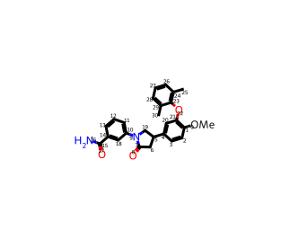 COc1ccc(C2CC(=O)N(c3cccc(C(N)=O)c3)C2)cc1Oc1c(C)cccc1C